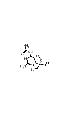 CCO[Si](CCC(NC(N)=O)NC(N)=O)(OCC)OCC